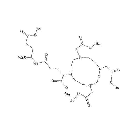 CC(C)(C)OC(=O)CCC(NC(=O)CCC(C(=O)OC(C)(C)C)N1CCN(CC(=O)OC(C)(C)C)CCN(CC(=O)OC(C)(C)C)CCN(CC(=O)OC(C)(C)C)CC1)C(=O)O